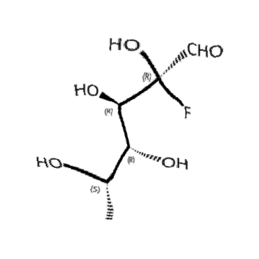 C[C@H](O)[C@@H](O)[C@@H](O)[C@@](O)(F)C=O